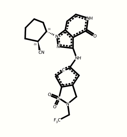 N#C[C@H]1CCCC[C@@H]1n1nc(Nc2ccc3c(c2)CN(CC(F)(F)F)S3(=O)=O)c2c(=O)[nH]ccc21